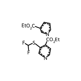 CCOC(=O)c1cccnc1.CCOC(=O)c1ccncc1SC(F)F